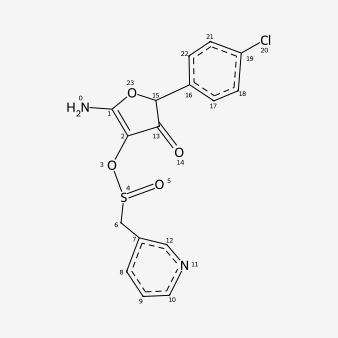 NC1=C(OS(=O)Cc2cccnc2)C(=O)C(c2ccc(Cl)cc2)O1